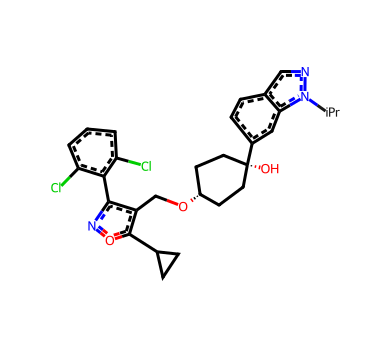 CC(C)n1ncc2ccc([C@]3(O)CC[C@@H](OCc4c(-c5c(Cl)cccc5Cl)noc4C4CC4)CC3)cc21